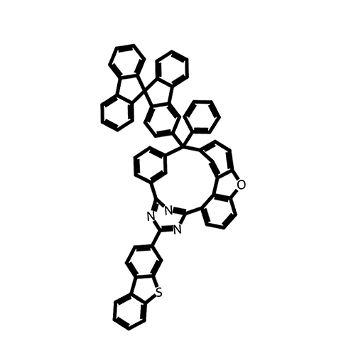 c1ccc(C2(c3ccc4c(c3)-c3ccccc3C43c4ccccc4-c4ccccc43)c3cccc(c3)-c3nc(-c4ccc5c(c4)sc4ccccc45)nc(n3)-c3cccc4oc5ccc2cc5c34)cc1